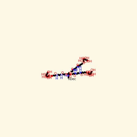 CCCCCCCCCCCC(=O)NC(COCCC(=O)NCCCNC(=O)CCCCO[C@@H]1OC(CO)[C@@H](O)C(O)C1O)(COCCC(=O)NCCCNC(=O)CCCCO[C@@H]1OC(CO)[C@@H](O)C(O)C1O)COCCC(=O)NCCCNC(=O)CCCCO[C@@H]1OC(CO)[C@@H](O)C(O)C1O